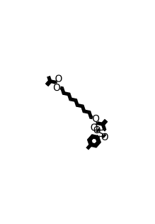 C=C(C)C(=O)OCCCCCCCCCCOC(=O)C(=C)CS(=O)(=O)c1ccc(C)cc1